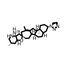 CC1=C2C[C@H]3[C@@H](CC[C@@H]4C[C@@H](n5ccnn5)CC[C@@]43C)[C@@H]2CC[C@@]2(C1)O[C@@H]1C[C@H](C)CN[C@@]1(N)[C@H]2C